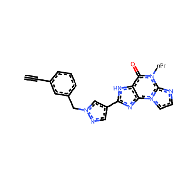 C#Cc1cccc(Cn2cc(-c3nc4c([nH]3)c(=O)n(CCC)c3nccn43)cn2)c1